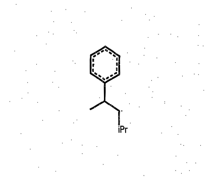 CC(C)[CH]C(C)c1ccccc1